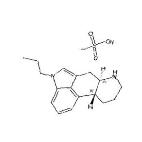 CCCn1cc2c3c(cccc31)[C@H]1CCCN[C@@H]1C2.CS(=O)(=O)O